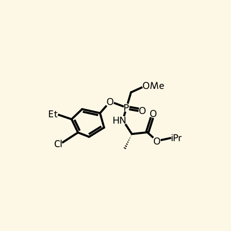 CCc1cc(OP(=O)(COC)N[C@@H](C)C(=O)OC(C)C)ccc1Cl